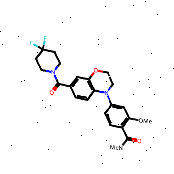 CNC(=O)c1ccc(N2CCOc3cc(C(=O)N4CCC(F)(F)CC4)ccc32)cc1OC